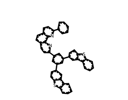 c1ccc(-c2ccc3ccc4ccc(-c5cc(-c6ccc7sc8ccccc8c7c6)cc(-c6ccc7sc8ccccc8c7c6)c5)nc4c3n2)cc1